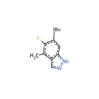 Cc1c(F)c(C(C)(C)C)cc2[nH]ncc12